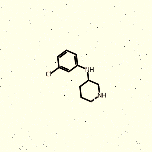 Clc1cccc(NC2CCCNC2)c1